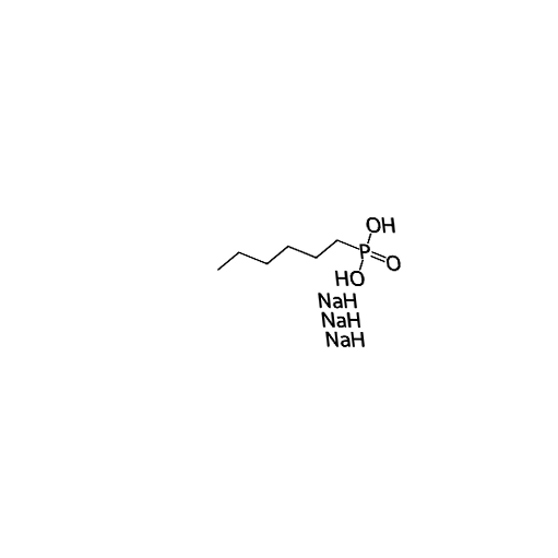 CCCCCCP(=O)(O)O.[NaH].[NaH].[NaH]